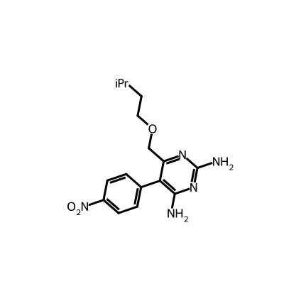 CC(C)CCOCc1nc(N)nc(N)c1-c1ccc([N+](=O)[O-])cc1